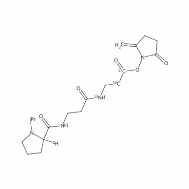 [2H]C1(C(=O)NCCC(=O)[15NH]C[13CH2][13C](=O)ON2C(=C)CCC2=O)CCCN1[13CH]([13CH3])[13CH3]